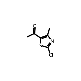 CC(=O)c1sc(Cl)nc1C